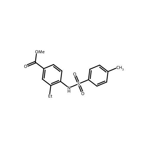 CCc1cc(C(=O)OC)ccc1NS(=O)(=O)c1ccc(C)cc1